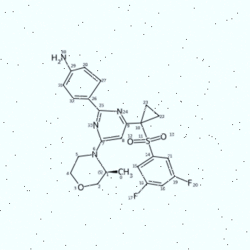 C[C@H]1COCCN1c1cc(C2(S(=O)(=O)c3cc(F)cc(F)c3)CC2)nc(-c2ccc(N)cc2)n1